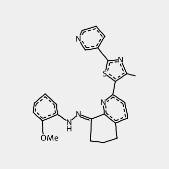 COc1ccccc1N/N=C1\CCCc2ccc(-c3sc(-c4cccnc4)nc3C)nc21